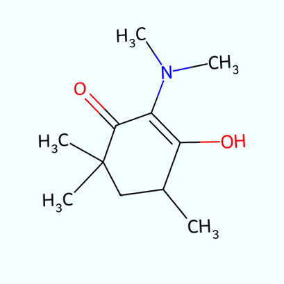 CC1CC(C)(C)C(=O)C(N(C)C)=C1O